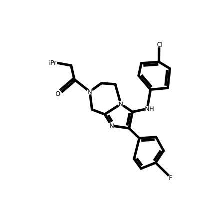 CC(C)CC(=O)N1CCn2c(nc(-c3ccc(F)cc3)c2Nc2ccc(Cl)cc2)C1